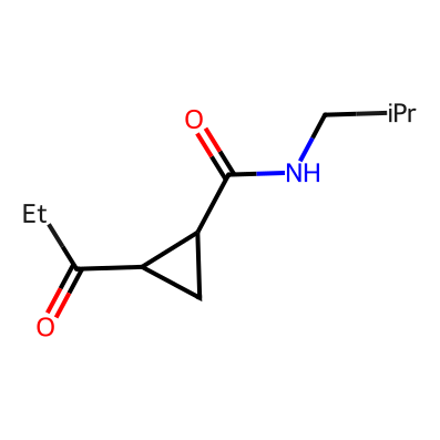 CCC(=O)C1CC1C(=O)NCC(C)C